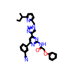 CCC(C)c1cccc(Cn2cc(-c3cc(-c4cccc(C#N)c4)nc(NC(=O)COc4ccccc4)n3)nn2)n1